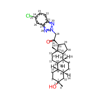 C[C@@]1(O)CC[C@H]2[C@H](CC[C@@H]3[C@@H]2CC[C@]2(C)[C@@H](C(=O)Cn4nc5ccc(Cl)cc5n4)CC[C@@H]32)C1